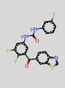 O=C(Nc1cccc(F)c1)Nc1cc(F)c(F)c(C(=O)c2ccc3ncsc3c2)c1